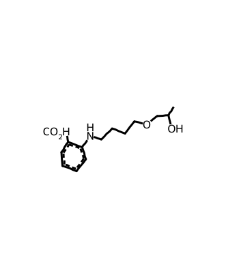 CC(O)COCCCCNc1ccccc1C(=O)O